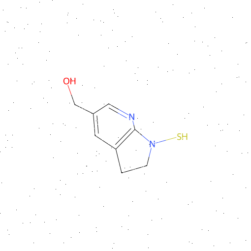 OCc1cnc2c(c1)CCN2S